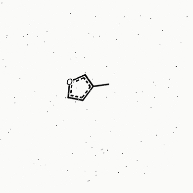 Cc1[c]o[c]c1